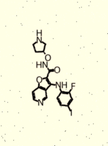 O=C(NO[C@H]1CCNC1)c1oc2ccncc2c1Nc1ccc(I)cc1F